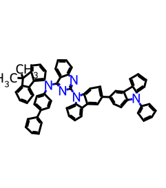 CC1(C)c2ccccc2-c2c(N(c3ccc(-c4ccccc4)cc3)c3nc(-n4c5ccccc5c5cc(-c6ccc7c(c6)c6ccccc6n7-c6ccccc6)ccc54)nc4ccccc34)cccc21